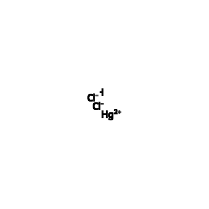 [Cl-].[Cl-].[Hg+2].[I]